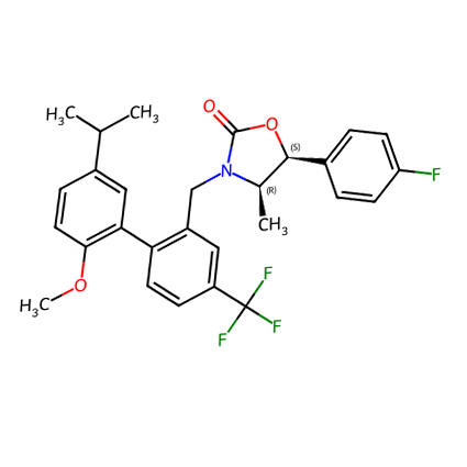 COc1ccc(C(C)C)cc1-c1ccc(C(F)(F)F)cc1CN1C(=O)O[C@@H](c2ccc(F)cc2)[C@H]1C